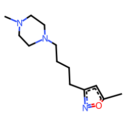 Cc1cc(CCCCN2CCN(C)CC2)no1